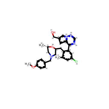 COc1ccc(CN2CC(Cc3c(C)cc(Cl)cc3-c3ncnn4cc(CO)cc34)O[C@@H](C)C2)cc1